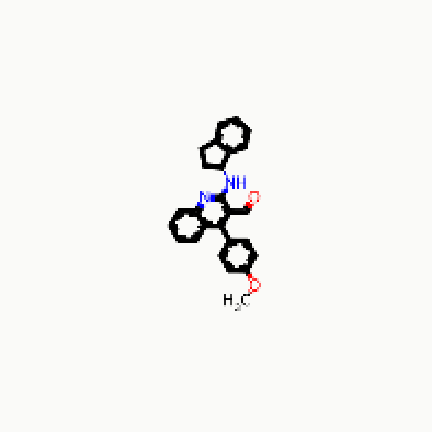 COc1ccc(-c2c(C=O)c(N[C@@H]3CCc4ccccc43)nc3ccccc23)cc1